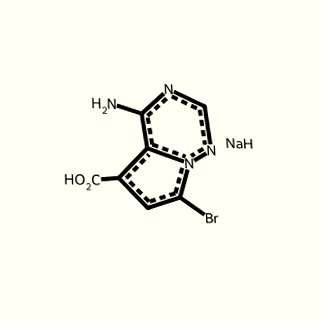 Nc1ncnn2c(Br)cc(C(=O)O)c12.[NaH]